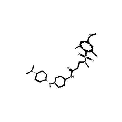 COc1cc(C)c(S(=O)(=O)N(C)CCC(=O)NC2CCC(N[C@H]3CC[C@@H](N(C)C)CC3)CC2)c(C)c1